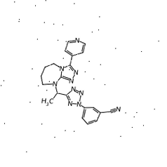 CC(c1nnn(-c2cccc(C#N)c2)n1)N1CCCCn2c(-c3ccncc3)nnc21